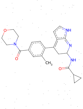 Cc1cc(C(=O)N2CCOCC2)ccc1C1=c2cc[nH]c2=NC(NC(=O)C2CC2)C1